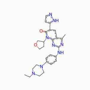 CCN1CCN(c2ccc(Nc3nc(C)c4cc(-c5ccn[nH]5)c(=O)n(C5CCOC5)c4n3)cc2)CC1